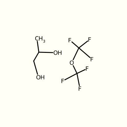 CC(O)CO.FC(F)(F)OC(F)(F)F